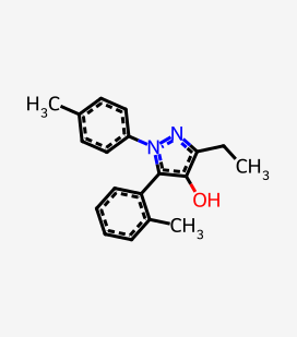 CCc1nn(-c2ccc(C)cc2)c(-c2ccccc2C)c1O